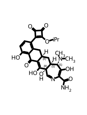 CC(C)Oc1c(-c2ccc(O)c3c2C[C@H]2C[C@H]4[C@H](N(C)C)C(O)=C(C(N)=O)N=C[C@@]4(O)C(O)=C2C3=O)c(=O)c1=O